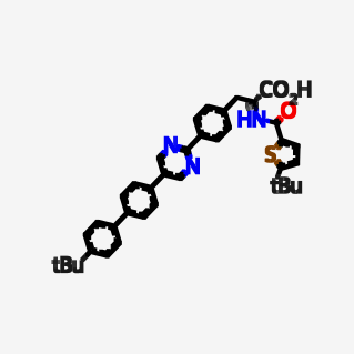 CC(C)(C)c1ccc(-c2ccc(-c3cnc(-c4ccc(C[C@H](NC(=O)c5ccc(C(C)(C)C)s5)C(=O)O)cc4)nc3)cc2)cc1